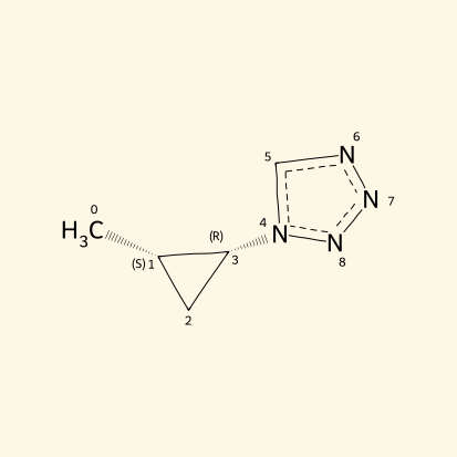 C[C@H]1C[C@H]1n1cnnn1